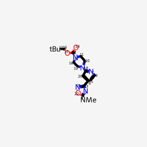 CNc1nc(-c2ccnc(N3CCN(C(=O)OCC(C)(C)C)CC3)c2)no1